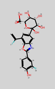 C=C(F)c1cc(C2(O)O[C@H](C(=O)O)[C@@H](O)[C@H](O)[C@H]2O)cc2nc(-c3ccc(O)c(F)c3)oc12